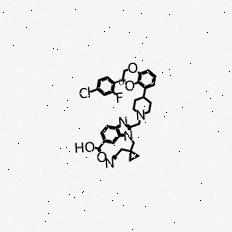 N#CCC1(Cn2c(CN3CCC(c4cccc5c4O[C@@H](c4ccc(Cl)cc4F)CO5)CC3)nc3ccc(C(=O)O)cc32)CC1